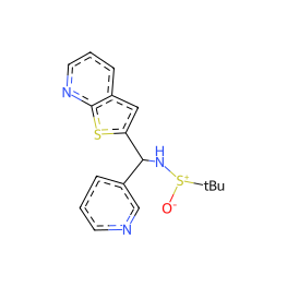 CC(C)(C)[S+]([O-])NC(c1cccnc1)c1cc2cccnc2s1